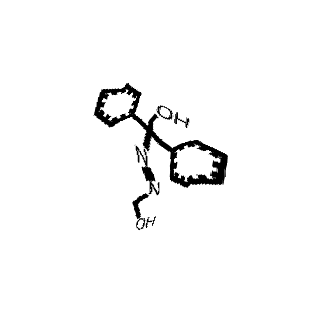 OCN=NC(O)(c1ccccc1)c1ccccc1